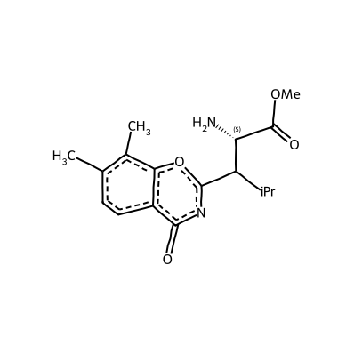 COC(=O)[C@@H](N)C(c1nc(=O)c2ccc(C)c(C)c2o1)C(C)C